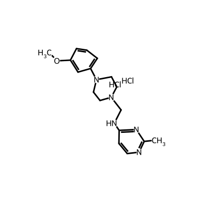 COc1cccc(N2CCN(CNc3ccnc(C)n3)CC2)c1.Cl.Cl